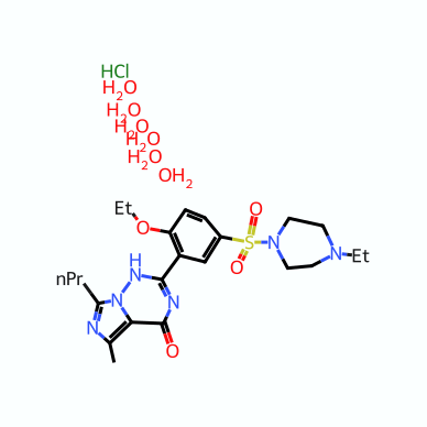 CCCc1nc(C)c2c(=O)nc(-c3cc(S(=O)(=O)N4CCN(CC)CC4)ccc3OCC)[nH]n12.Cl.O.O.O.O.O.O